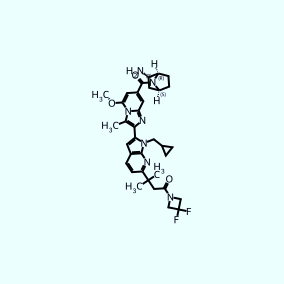 COc1cc(C(=O)N2[C@H]3CC[C@@H]2[C@H](N)C3)cc2nc(-c3cc4ccc(C(C)(C)CC(=O)N5CC(F)(F)C5)nc4n3CC3CC3)c(C)n12